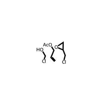 C=CCOC(C)=O.ClCC1CO1.OCCl